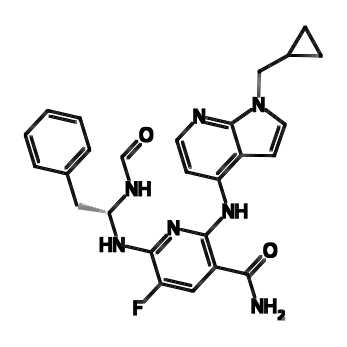 NC(=O)c1cc(F)c(N[C@H](Cc2ccccc2)NC=O)nc1Nc1ccnc2c1ccn2CC1CC1